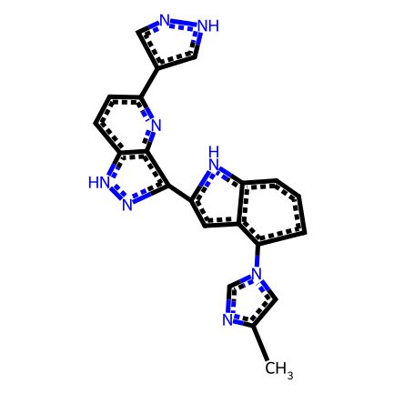 Cc1cn(-c2cccc3[nH]c(-c4n[nH]c5ccc(-c6cn[nH]c6)nc45)cc23)cn1